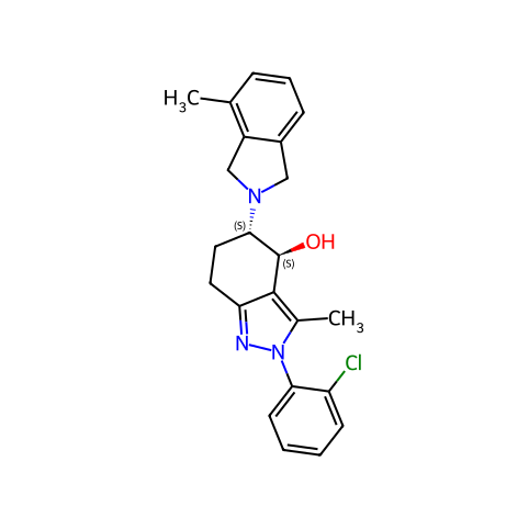 Cc1cccc2c1CN([C@H]1CCc3nn(-c4ccccc4Cl)c(C)c3[C@@H]1O)C2